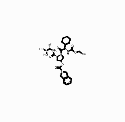 CCC[C@H](NC(=O)[C@@H]1C[C@@H](OC(=O)N2Cc3ccccc3C2)CN1C(=O)[C@@H](NC(=O)OCC(C)(C)C)C1CCCCC1)B(O)O